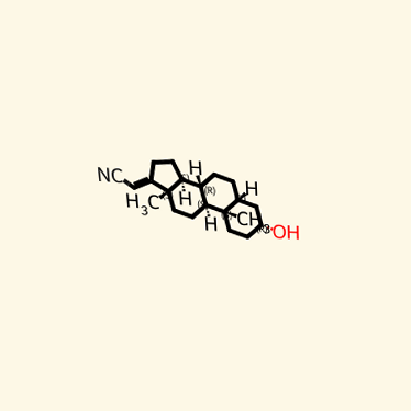 C[C@]12CC[C@@H](O)C[C@H]1CC[C@@H]1[C@@H]2CC[C@]2(C)C(=CC#N)CC[C@@H]12